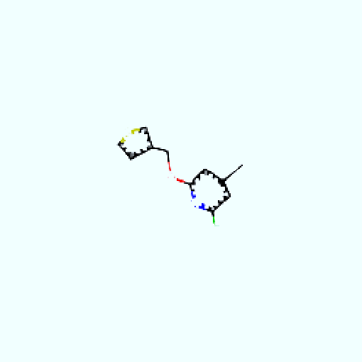 Cc1cc(Cl)nc(OCc2ccsc2)c1